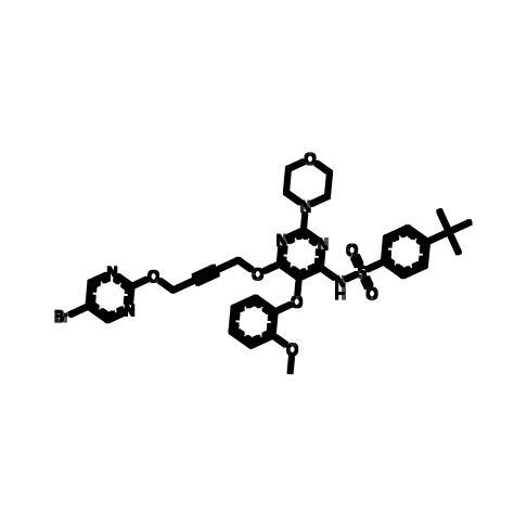 COc1ccccc1Oc1c(NS(=O)(=O)c2ccc(C(C)(C)C)cc2)nc(N2CCOCC2)nc1OCC#CCOc1ncc(Br)cn1